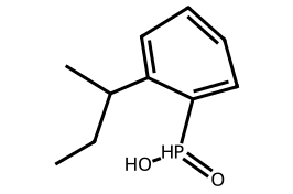 CCC(C)c1ccccc1[PH](=O)O